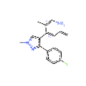 C=C/C=C(\C(C)=C/N)c1cn(C)nc1-c1ccc(F)cc1